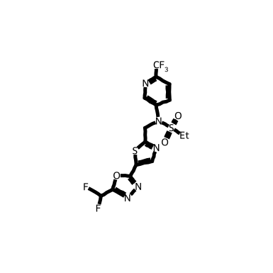 CCS(=O)(=O)N(Cc1ncc(-c2nnc(C(F)F)o2)s1)c1ccc(C(F)(F)F)nc1